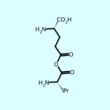 CC(C)[C@H](N)C(=O)OC(=O)CC[C@H](N)C(=O)O